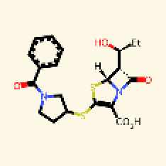 CC[C@H](O)[C@@H]1C(=O)N2C(C(=O)O)=C(SC3CCN(C(=O)c4ccccc4)C3)S[C@H]12